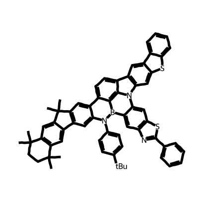 CC(C)(C)c1ccc(N2B3c4cc5nc(-c6ccccc6)sc5cc4-n4c5cc6sc7ccccc7c6cc5c5ccc(c3c54)-c3cc4c(cc32)-c2cc3c(cc2C4(C)C)C(C)(C)CCC3(C)C)cc1